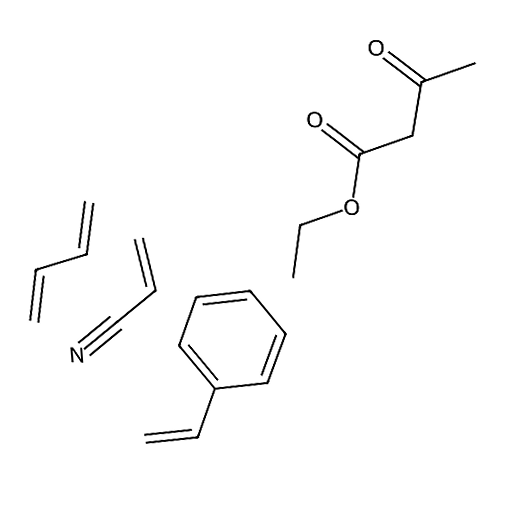 C=CC#N.C=CC=C.C=Cc1ccccc1.CCOC(=O)CC(C)=O